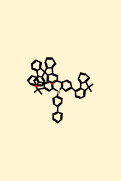 CC1(C)c2ccccc2-c2ccc(N(c3ccc(-c4ccccc4)cc3)c3cc(-c4cccc5c4-c4ccccc4C5(C)C)ccc3-c3ccc4c(c3)-c3ccccc3C43c4ccccc4-c4ccccc43)cc21